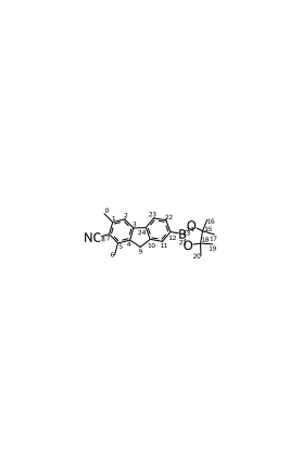 Cc1cc2c(c(C)c1C#N)Cc1cc(B3OC(C)(C)C(C)(C)O3)ccc1-2